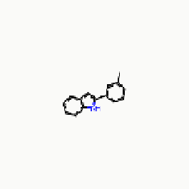 Cc1cccc(-c2cc3ccccc3[nH]2)c1